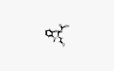 COc1ccccc1N/C(=N\C(=O)O)SCC=O